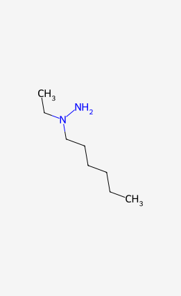 CCCCCCN(N)CC